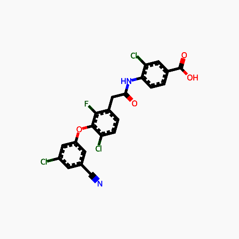 N#Cc1cc(Cl)cc(Oc2c(Cl)ccc(CC(=O)Nc3ccc(C(=O)O)cc3Cl)c2F)c1